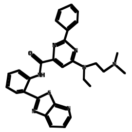 CCN(CCN(C)C)c1cc(C(=O)Nc2ccccc2-c2nc3cccnc3s2)nc(-c2ccccc2)n1